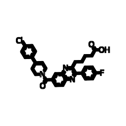 O=C(O)CCCCc1nc2cc(C(=O)N3CC=C(c4ccc(Cl)cc4)CC3)ccc2nc1-c1ccc(F)cc1